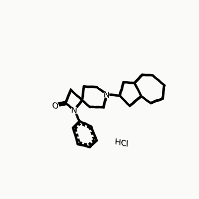 Cl.O=C1CC2(CCN(C3CC4CCCCCC4C3)CC2)N1c1ccccc1